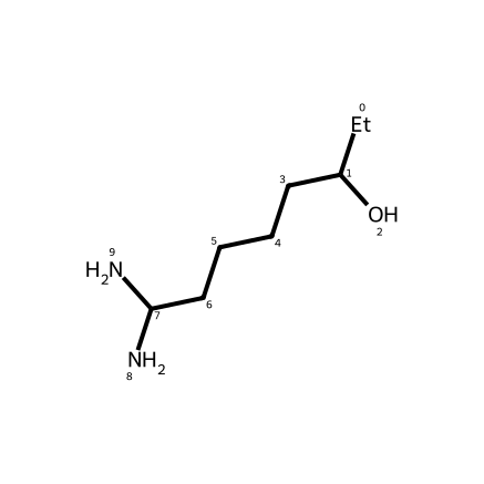 CCC(O)CCCCC(N)N